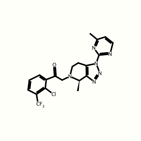 Cc1ccnc(-n2nnc3c2CCN(CC(=O)c2cccc(C(F)(F)F)c2Cl)[C@@H]3C)n1